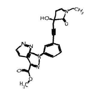 COC(=O)c1nn(-c2cccc(C#C[C@]3(O)CCN(C)C3=O)c2)c2nnccc12